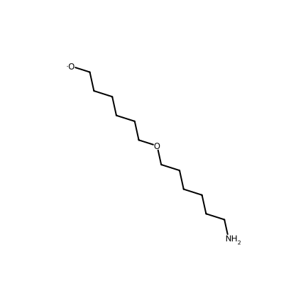 NCCCCCCOCCCCCC[O]